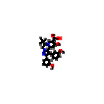 COc1cccc(-c2nn3c(c2-c2cccc(OC)c2)-c2cc(=O)c(C(=O)O)cn2[C@H](C(C)(C)C)C3)c1